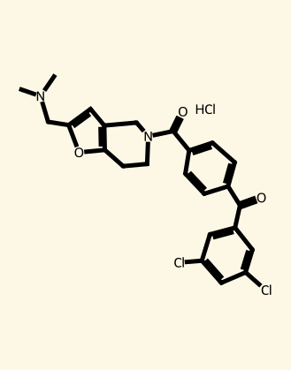 CN(C)Cc1cc2c(o1)CCN(C(=O)c1ccc(C(=O)c3cc(Cl)cc(Cl)c3)cc1)C2.Cl